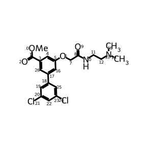 COC(=O)c1cc(OCC(=O)NCCN(C)C)cc(-c2cc(Cl)cc(Cl)c2)c1